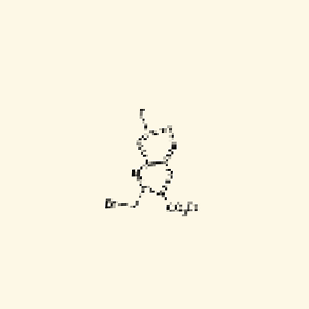 CCOC(=O)c1cc2ccc(F)cc2nc1CBr